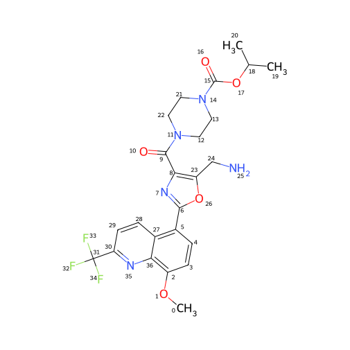 COc1ccc(-c2nc(C(=O)N3CCN(C(=O)OC(C)C)CC3)c(CN)o2)c2ccc(C(F)(F)F)nc12